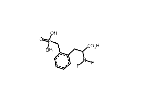 O=C(O)C(Cc1ccccc1CP(=O)(O)O)N(F)F